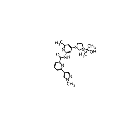 Cc1cc(N2CC[C@@H](C(C)(C)O)C2)cc(NC(=O)c2cccc(-c3cnn(C)c3)n2)n1